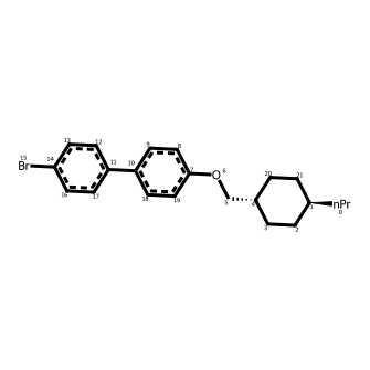 CCC[C@H]1CC[C@H](COc2ccc(-c3ccc(Br)cc3)cc2)CC1